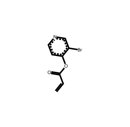 C=CC(=O)Oc1ccncc1Br